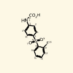 O=C(O)Nc1ccc(S(=O)(=O)c2ccccc2F)cc1